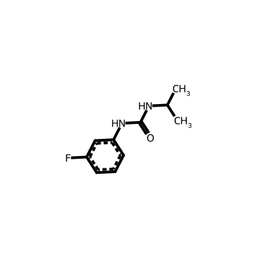 CC(C)NC(=O)Nc1cccc(F)c1